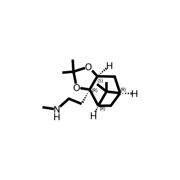 CNCC[C@]12OC(C)(C)O[C@H]1C[C@H]1C[C@@H]2C1(C)C